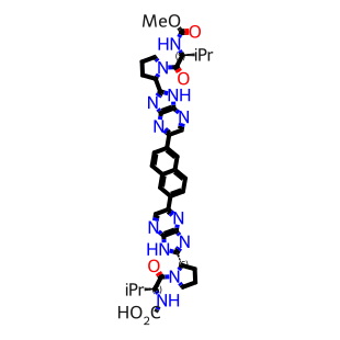 COC(=O)N[C@H](C(=O)N1CCCC1c1nc2nc(-c3ccc4cc(-c5cnc6[nH]c([C@@H]7CCCN7C(=O)[C@@H](NC(=O)O)C(C)C)nc6n5)ccc4c3)cnc2[nH]1)C(C)C